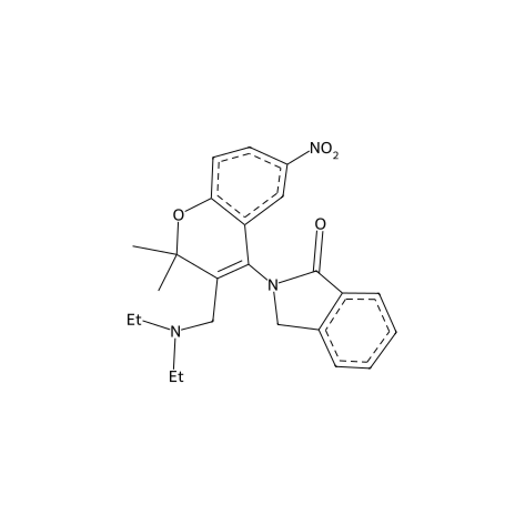 CCN(CC)CC1=C(N2Cc3ccccc3C2=O)c2cc([N+](=O)[O-])ccc2OC1(C)C